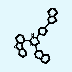 c1ccc2cc(C3=NC(c4ccc(-c5ccc6ccccc6c5)cc4)NC(c4cccc5oc6ccccc6c45)=N3)ccc2c1